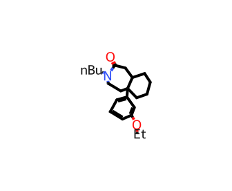 CCCCN1CCC2(c3cccc(OCC)c3)CCCCC2CC1=O